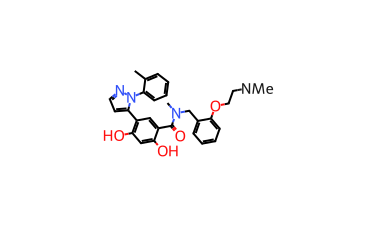 CNCCOc1ccccc1CN(C)C(=O)c1cc(-c2ccnn2-c2ccccc2C)c(O)cc1O